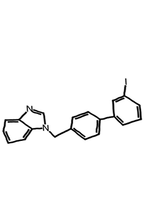 Ic1cccc(-c2ccc(Cn3cnc4ccccc43)cc2)c1